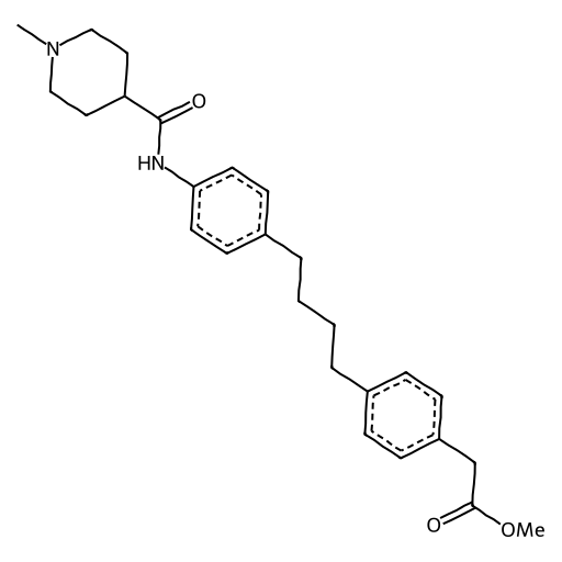 COC(=O)Cc1ccc(CCCCc2ccc(NC(=O)C3CCN(C)CC3)cc2)cc1